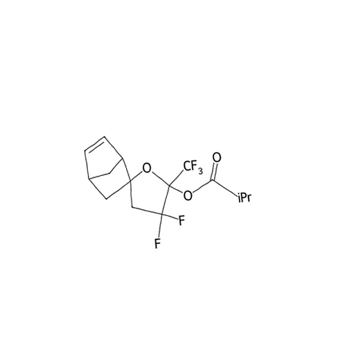 CC(C)C(=O)OC1(C(F)(F)F)OC2(CC3C=CC2C3)CC1(F)F